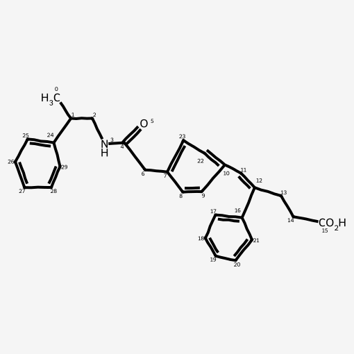 CC(CNC(=O)Cc1ccc(C=C(CCC(=O)O)c2ccccc2)cc1)c1ccccc1